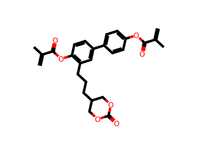 C=C(C)C(=O)Oc1ccc(-c2ccc(OC(=O)C(=C)C)c(CCCC3COC(=O)OC3)c2)cc1